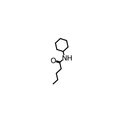 CCCCC(=O)NC1CCCCC1